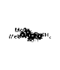 COc1cccc(Cn2c(=O)c3c(O)c(Sc4ccc(C)cc4)c(=O)oc3c3ccc(OC)cc32)c1